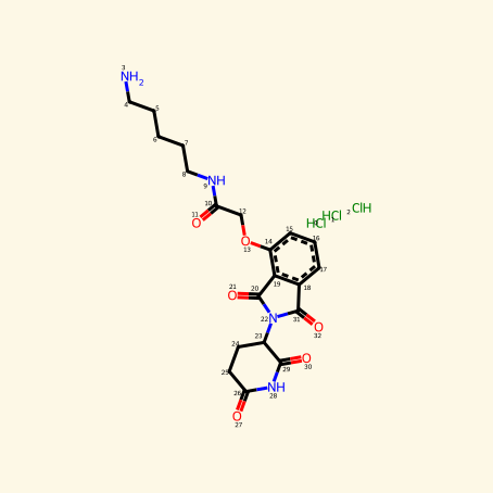 Cl.Cl.Cl.NCCCCCNC(=O)COc1cccc2c1C(=O)N(C1CCC(=O)NC1=O)C2=O